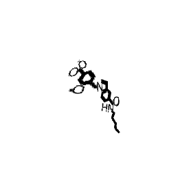 CCCCCNC(=O)c1ccc2c(ccn2Cc2ccc(C(=O)OC)cc2OC)c1